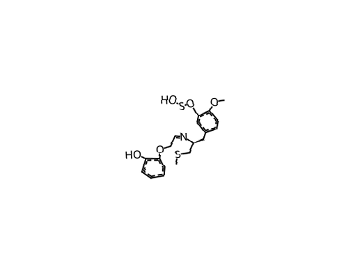 COc1ccc(C[C@@H](CSC)/N=C\COc2ccccc2O)cc1OSO